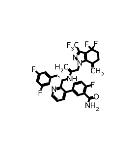 C=C(Cn1nc(C(F)(F)F)c2c1C(=C)CCC2(F)F)N[C@@H](Cc1cc(F)cc(F)c1)c1ncccc1-c1ccc(F)c(C(N)=O)c1